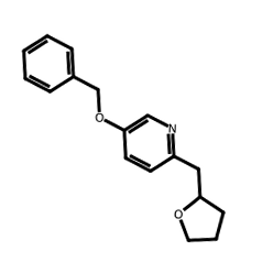 c1ccc(COc2ccc(CC3CCCO3)nc2)cc1